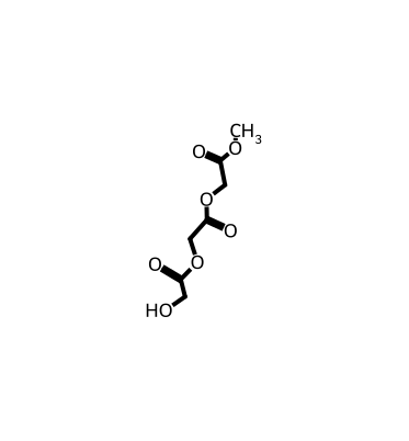 COC(=O)COC(=O)COC(=O)CO